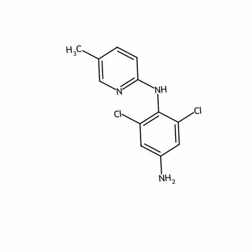 Cc1ccc(Nc2c(Cl)cc(N)cc2Cl)nc1